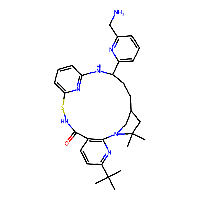 CC(C)(C)c1ccc2c(n1)N1CC(CCC(c3cccc(CN)n3)Nc3cccc(n3)SNC2=O)CC1(C)C